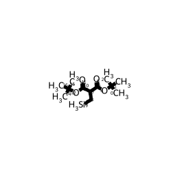 CC(C)(C)OC(=O)C(C[SiH3])C(=O)OC(C)(C)C